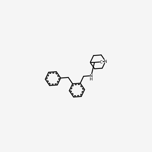 c1ccc(Cc2ccccc2CNC2CN3CCC2CC3)cc1